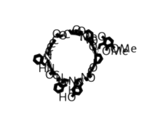 COc1ccc(OC)c(OC)c1CC[C@H]1OC(=O)[C@@H]2CCCCN2C(=O)C(=O)C(C)(C)COC(=O)CCCCN(C)C(=O)[C@@H](Cc2ccccc2)NC(=O)CN(C)C(=O)[C@@H](Cc2ccccc2)NC(=O)[C@H](Cc2ccc(O)cc2)N(C)C(=O)COc2cccc1c2